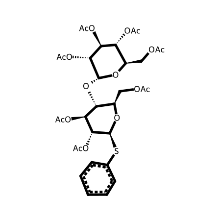 CC(=O)OC[C@H]1O[C@@H](Sc2ccccc2)[C@H](OC(C)=O)[C@@H](OC(C)=O)[C@@H]1O[C@H]1O[C@H](COC(C)=O)[C@@H](OC(C)=O)[C@H](OC(C)=O)[C@H]1OC(C)=O